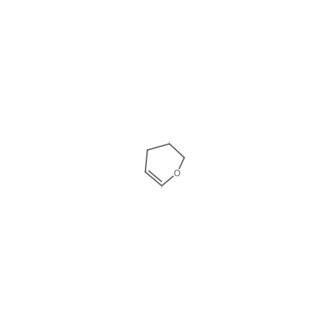 [C]1=CC[CH]CO1